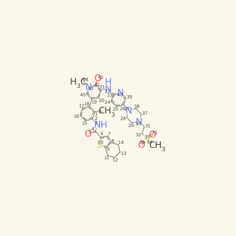 Cc1c(NC(=O)c2cc3c(s2)CCCC3)cccc1-c1cc(Nc2ccc(N3CCN(CCS(C)(=O)=O)CC3)cn2)c(=O)n(C)c1